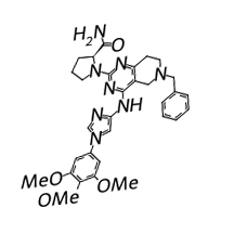 COc1cc(-n2cnc(Nc3nc(N4CCC[C@H]4C(N)=O)nc4c3CN(Cc3ccccc3)CC4)c2)cc(OC)c1OC